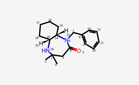 CC1(C)CC(=O)N(Cc2ccccc2)[C@H]2CCCC[C@H]2N1